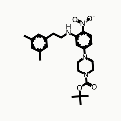 Cc1cc(C)cc(CCNc2cc(N3CCN(C(=O)OC(C)(C)C)CC3)ccc2[N+](=O)[O-])c1